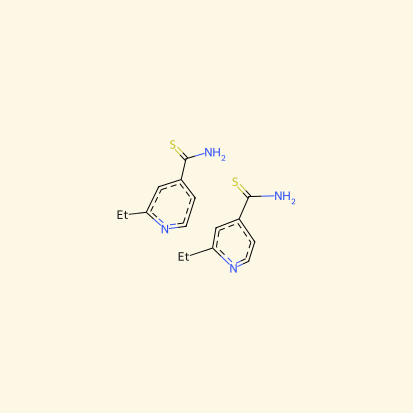 CCc1cc(C(N)=S)ccn1.CCc1cc(C(N)=S)ccn1